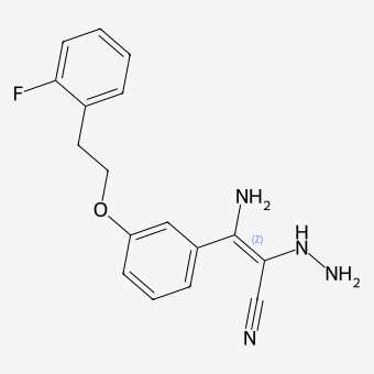 N#C/C(NN)=C(/N)c1cccc(OCCc2ccccc2F)c1